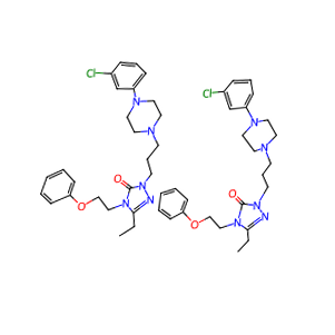 CCc1nn(CCCN2CCN(c3cccc(Cl)c3)CC2)c(=O)n1CCOc1ccccc1.CCc1nn(CCCN2CCN(c3cccc(Cl)c3)CC2)c(=O)n1CCOc1ccccc1